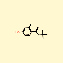 C=C(CC(C)(C)C)c1ccc(O)cc1C